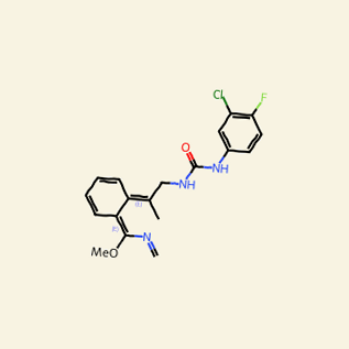 C=N/C(OC)=c1/cccc/c1=C(/C)CNC(=O)Nc1ccc(F)c(Cl)c1